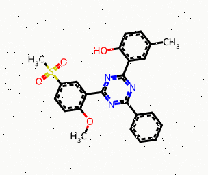 COc1ccc(S(C)(=O)=O)cc1-c1nc(-c2ccccc2)nc(-c2cc(C)ccc2O)n1